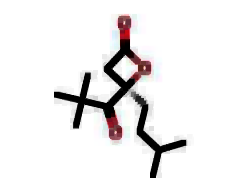 CC(C)CC[C@]1(C(=O)C(C)(C)C)CC(=O)O1